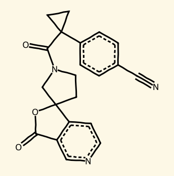 N#Cc1ccc(C2(C(=O)N3CCC4(C3)OC(=O)c3cnccc34)CC2)cc1